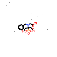 CCC(CC)(N(CC(=O)O)Cc1ccccc1)P(=O)(O)O